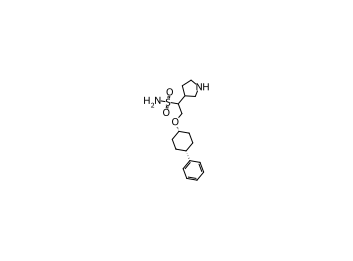 NS(=O)(=O)C(CO[C@H]1CC[C@@H](c2ccccc2)CC1)C1CCNC1